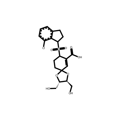 O=C(O)C1=CC2(CCC1S(=O)(=O)C1CCc3cccc(Cl)c31)O[C@@H](CO)[C@H](CO)O2